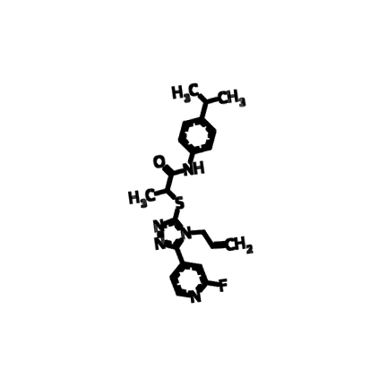 C=CCn1c(SC(C)C(=O)Nc2ccc(C(C)C)cc2)nnc1-c1ccnc(F)c1